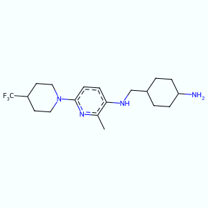 Cc1nc(N2CCC(C(F)(F)F)CC2)ccc1NCC1CCC(N)CC1